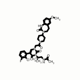 C=C1C(c2cccc(F)c2Cl)=CN(CC(=O)N2CCC(N3CCc4cc(OC)ccc4NC3=O)CC2)C(=O)N1[C@H](C)CNC(C)=O